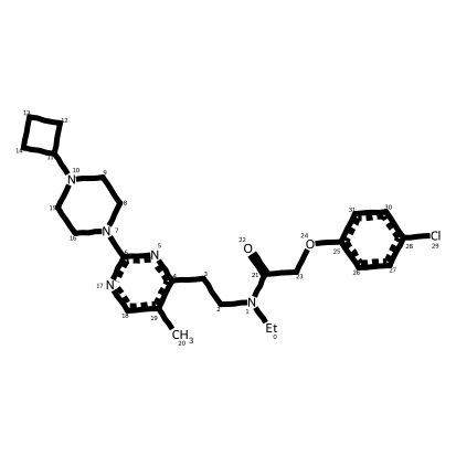 CCN(CCc1nc(N2CCN(C3CCC3)CC2)ncc1C)C(=O)COc1ccc(Cl)cc1